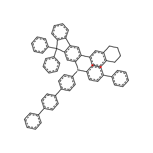 c1ccc(-c2ccc(-c3ccc(N(c4ccc(-c5ccccc5)cc4)c4cc5c(cc4-c4ccc6c(c4)CCCC6)-c4ccccc4C5(c4ccccc4)c4ccccc4)cc3)cc2)cc1